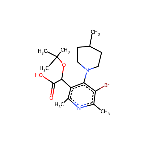 Cc1nc(C)c(C(OC(C)(C)C)C(=O)O)c(N2CCC(C)CC2)c1Br